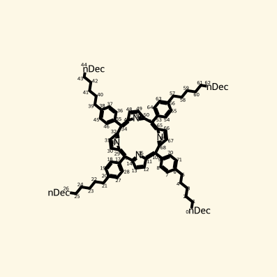 CCCCCCCCCCCCCCCc1ccc(C2=C3C=CC(=N3)C(c3ccc(CCCCCCCCCCCCCCC)cc3)=C3C=CC(=N3)C(c3ccc(CCCCCCCCCCCCCCC)cc3)=C3C=CC(=N3)C(c3ccc(CCCCCCCCCCCCCCC)cc3)=C3C=CC2=N3)cc1